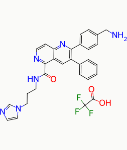 NCc1ccc(-c2nc3ccnc(C(=O)NCCCn4ccnc4)c3cc2-c2ccccc2)cc1.O=C(O)C(F)(F)F